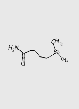 C[N+](C)CCC(N)=O